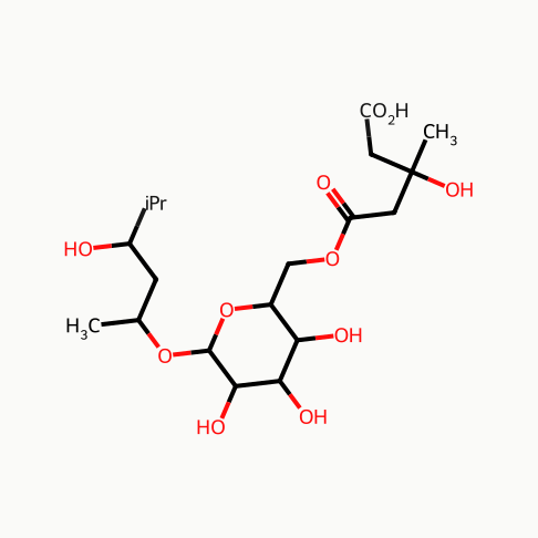 CC(CC(O)C(C)C)OC1OC(COC(=O)CC(C)(O)CC(=O)O)C(O)C(O)C1O